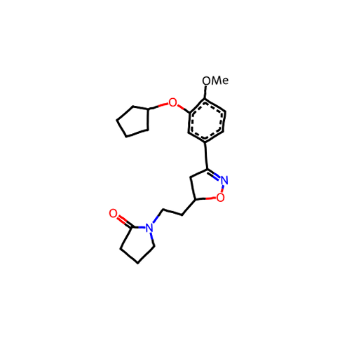 COc1ccc(C2=NOC(CCN3CCCC3=O)C2)cc1OC1CCCC1